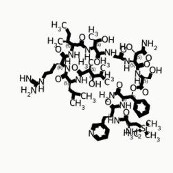 CC[C@H](C)C(NC(=O)[C@@H](CCCNC(=N)N)NC(=O)[C@H](CC(C)C)NC(=O)[C@@H](C)[C@H](O)C(C)C)C(=O)NC(C(=O)NCC(=O)N[C@H](C(=O)N[C@@H](CO)C(=O)O[C@H](c1ccccc1)[C@H](NC(=O)[C@H](Cc1cccnc1)NC(=O)[C@H](N)C[Si](C)(C)C)C(N)=O)[C@H](O)C(N)=O)[C@H](C)O